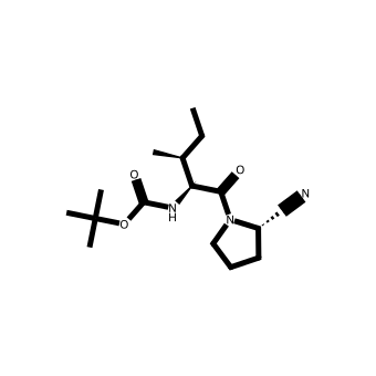 CC[C@H](C)[C@H](NC(=O)OC(C)(C)C)C(=O)N1CCC[C@H]1C#N